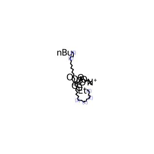 CC/C=C\C/C=C\C/C=C\C/C=C\CCCCC(=O)O[C@H](COC(=O)CCCCCCC/C=C\C/C=C\CCCC)COP(=O)([O-])OCC[N+](C)(C)C